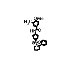 COc1ccc(C(=O)Nc2ccc(S(=O)(=O)N3CCCCC3c3ccccc3)cc2)cc1C